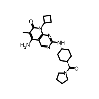 Cc1c(N)c2cnc(N[C@H]3CC[C@H](C(=O)N4CCCC4)CC3)nc2n(C2CCC2)c1=O